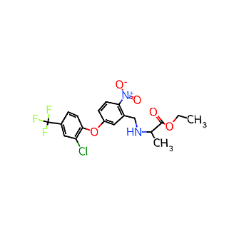 CCOC(=O)C(C)NCc1cc(Oc2ccc(C(F)(F)F)cc2Cl)ccc1[N+](=O)[O-]